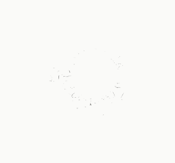 CC(C)C[C@H]1NC(=O)c2ccccc2OCc2noc(n2)CCCCCCCCNC(=O)[C@H](Cc2cscn2)N(C)C(=O)[C@H]2CCCN2C1=O